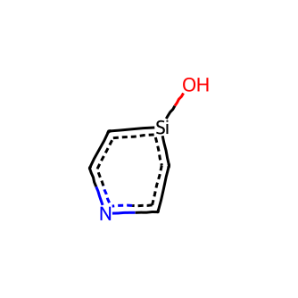 O[si]1ccncc1